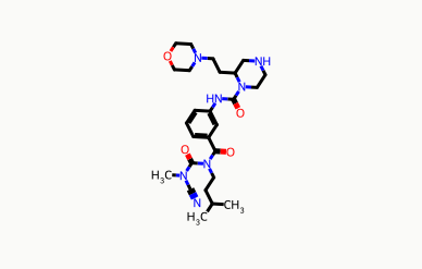 CC(C)CCN(C(=O)c1cccc(NC(=O)N2CCNCC2CCN2CCOCC2)c1)C(=O)N(C)C#N